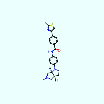 Cc1nc(-c2ccc(C(=O)Nc3ccc(N4CC[C@@H]5CN(C)C[C@@H]54)cc3)cc2)cs1